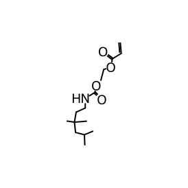 C=CC(=O)OCCOC(=O)NCCC(C)(C)CC(C)C